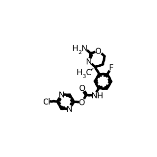 C[C@@]1(c2cc(NC(=O)Oc3cnc(Cl)cn3)ccc2F)CCOC(N)=N1